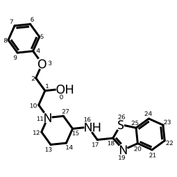 OC(COc1ccccc1)CN1CCCC(NCc2nc3ccccc3s2)C1